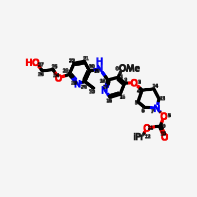 COc1c(OC2CCN(OC(=O)OC(C)C)CC2)ccnc1Nc1ccc(OCCO)nc1C